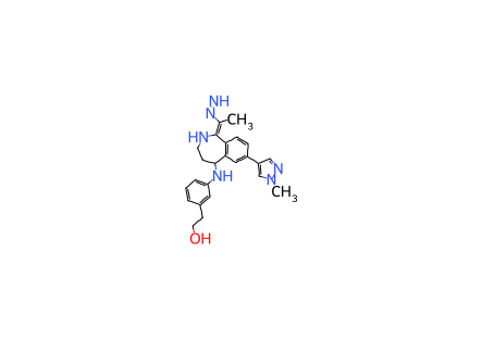 C/C(N=N)=C1/NCCC(Nc2cccc(CCO)c2)c2cc(-c3cnn(C)c3)ccc21